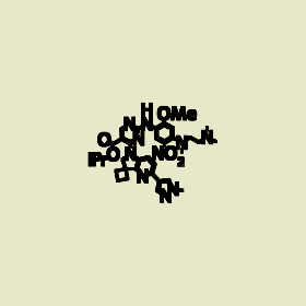 COc1cc(N(C)CCN(C)C)c([N+](=O)[O-])cc1Nc1ncc(C(=O)OC(C)C)c(N2CC3(CCC3)c3nc(-c4cnn(C)c4)ccc32)n1